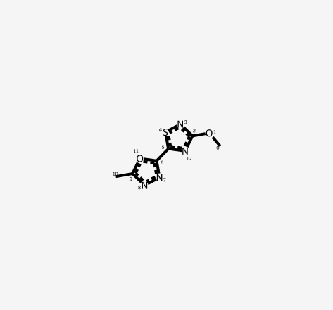 COc1nsc(-c2nnc(C)o2)n1